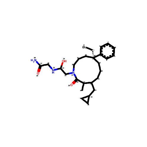 CCC(C)C[C@]1(c2ccccc2)CCCC(CC2CC2)C(C)C(=O)N(CC(O)NCC(N)=O)CCC1